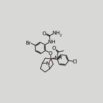 CC(=O)NC1(Oc2ccc(Br)cc2NC(N)=O)CC2CCC(C1)N2Cc1ccc(Cl)cc1